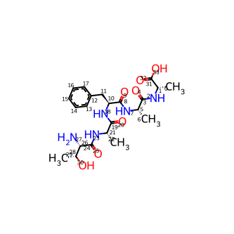 C[C@H](NC(=O)[C@H](C)NC(=O)[C@H](Cc1ccccc1)NC(=O)[C@H](C)NC(=O)[C@@H](N)[C@@H](C)O)C(=O)O